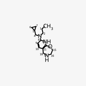 CCCN(CC1CC1)C1C=CC2=C(N1)OCCNC2